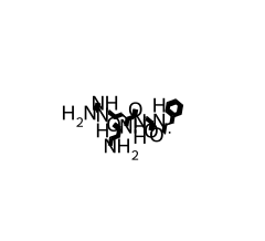 N=C(N)NCCC[C@H](NC(=O)CCN)C(=O)NCC(=O)N[C@H]([C]=O)Cc1ccccc1